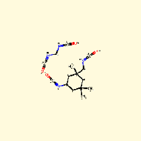 CC1(C)CC(N=C=O)CC(C)(CN=C=O)C1.O=C=NCN=C=O